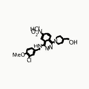 COc1ccc(CNc2nnc(N3CCC(CO)CC3)c3ccc([N+](=O)[O-])cc23)cc1Cl.Cl